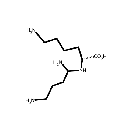 NCCCC[C@@H](NC(N)CCCN)C(=O)O